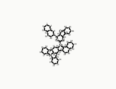 c1ccc2cc(-c3nc(-n4c5cc6c7ccccc7n7c8ccccc8c(c5c5ccc8ccccc8c54)c67)nc4c3oc3ccccc34)ccc2c1